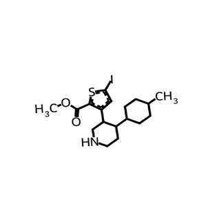 COC(=O)c1sc(I)cc1C1CNCCC1C1CCC(C)CC1